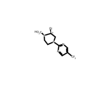 CC[C@H]1CN(c2ncc(C(F)(F)F)cn2)CCN1C(=O)O